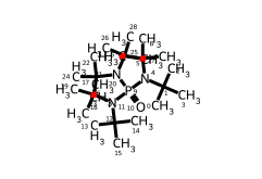 CC(C)(C)N(C(C)(C)C)P(=O)(N(C(C)(C)C)C(C)(C)C)N(C(C)(C)C)C(C)(C)C